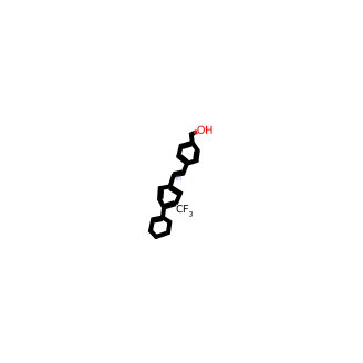 OCc1ccc(/C=C/c2ccc(C3=CCCCC3)c(C(F)(F)F)c2)cc1